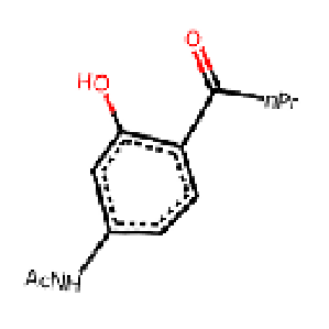 CCCC(=O)c1ccc(NC(C)=O)cc1O